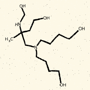 CC(CCO)(CN(CCCCO)CCCCO)NCO